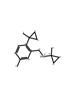 Cc1ccc(C2(C)CC2)c(CNC2(C)CC2)c1